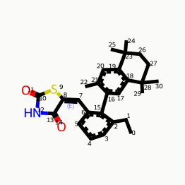 CCc1cccc(/C=C2/SC(=O)NC2=O)c1-c1cc2c(cc1C)C(C)(C)CCC2(C)C